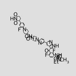 CCN(C)S(=O)(=O)Nc1ccc(F)c(C(=O)c2c[nH]c3ncc(-c4ccc(N5CCN(C(=O)CC6(O)CCN(c7ccc(C8CCC(=O)NC8=O)cc7F)CC6)CC5)nc4)cc23)c1F